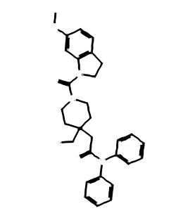 COc1ccc2c(c1)N(C(=O)N1CCC(CO)(CC(=O)N(c3ccccc3)c3ccccc3)CC1)CC2